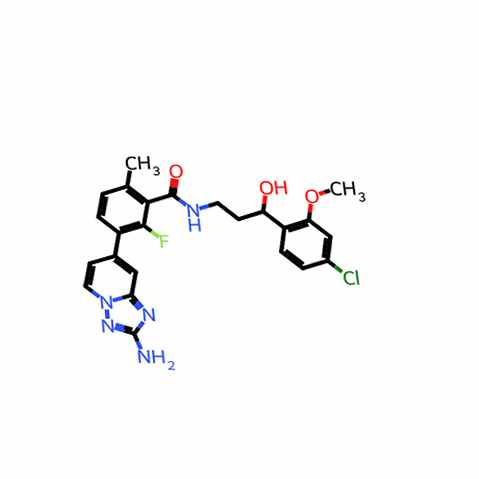 COc1cc(Cl)ccc1C(O)CCNC(=O)c1c(C)ccc(-c2ccn3nc(N)nc3c2)c1F